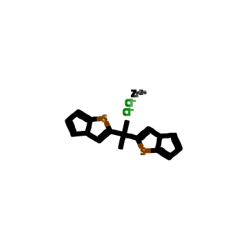 CC(C)(C1=CC2C=CC=C2S1)C1=CC2C=CC=C2S1.[Cl-].[Cl-].[Zr+2]